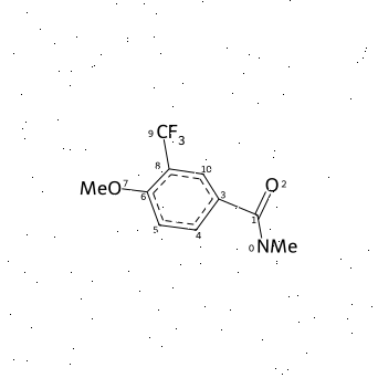 CNC(=O)c1ccc(OC)c(C(F)(F)F)c1